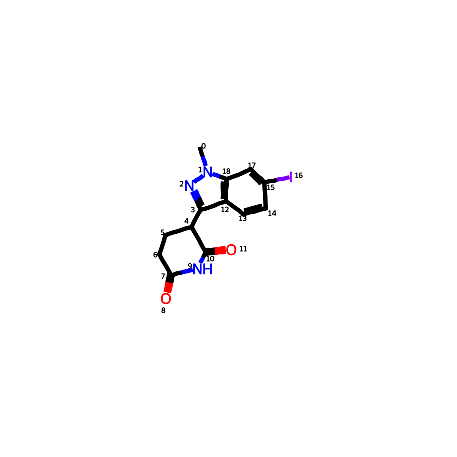 Cn1nc(C2CCC(=O)NC2=O)c2ccc(I)cc21